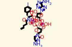 C=CCCC(=O)N[C@H](Cc1ccc(I)cc1)C(=O)O[C@H]1[C@@H](O)[C@H](n2cnc3c(N)ncnc32)O[C@H]1COP(=O)(O)O[C@H]1C[C@H](n2ccc(N)nc2=O)O[C@@H]1COP(=O)(O)O